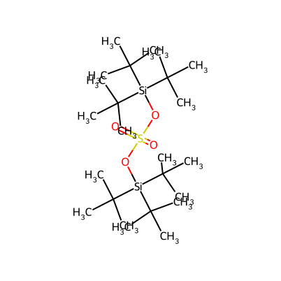 CC(C)(C)[Si](OS(=O)(=O)O[Si](C(C)(C)C)(C(C)(C)C)C(C)(C)C)(C(C)(C)C)C(C)(C)C